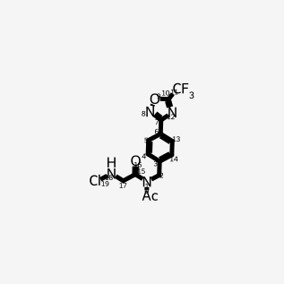 CC(=O)N(Cc1ccc(-c2noc(C(F)(F)F)n2)cc1)C(=O)CNCl